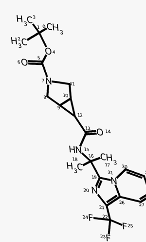 CC(C)(C)OC(=O)N1CC2C(C1)C2C(=O)NC(C)(C)c1nc(C(F)(F)F)c2ccccn12